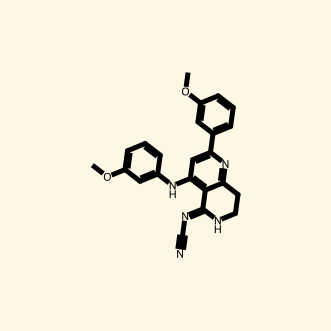 COc1cccc(Nc2cc(-c3cccc(OC)c3)nc3c2/C(=N/C#N)NCC3)c1